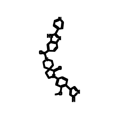 COc1cc(N2CCC3(CCN(C(=O)c4ccc5nc(-c6ccncc6)[nH]c5c4)CC3)C2=O)ccc1-c1cn[nH]c1